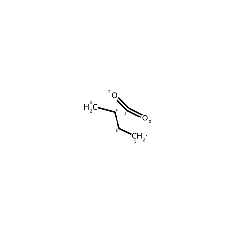 O=C=O.[CH2]CC[CH2]